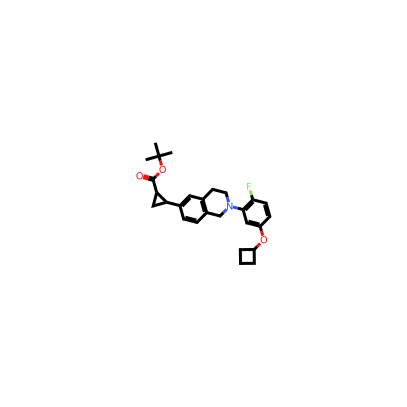 CC(C)(C)OC(=O)C1CC1c1ccc2c(c1)CCN(c1cc(OC3CCC3)ccc1F)C2